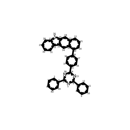 c1ccc(-c2nc(-c3ccccc3)nc(-c3ccc(-c4cccc5cc6sc7ccccc7c6cc45)cc3)n2)cc1